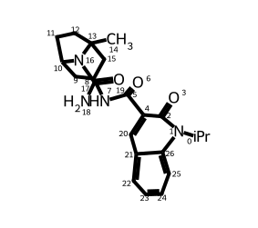 CC(C)n1c(=O)c(C(=O)NC2CC3CCC(C)(C2)N3C(N)=O)cc2ccccc21